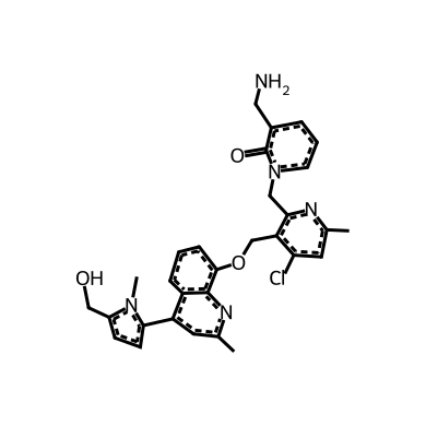 Cc1cc(Cl)c(COc2cccc3c(-c4ccc(CO)n4C)cc(C)nc23)c(Cn2cccc(CN)c2=O)n1